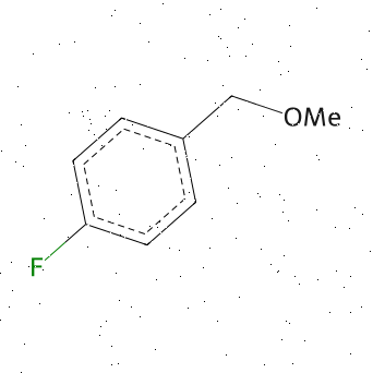 [CH2]OCc1ccc(F)cc1